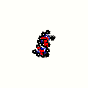 C1=CC2C(C(c3cccc(-c4nc(-n5c6ccccc6c6ccc7c8ccccc8n(-c8ccccc8)c7c65)nc(-n5c6ccccc6c6ccc7c8ccccc8n(-c8ccccc8)c7c65)n4)c3)=C1)c1ccc3c4ccccc4n(-c4cccc(-n5c6ccccc6c6ccc7c8ccccc8n(-c8nc(-c9ccccc9)nc(-c9ccccc9)n8)c7c65)c4)c3c1N2c1ccccc1